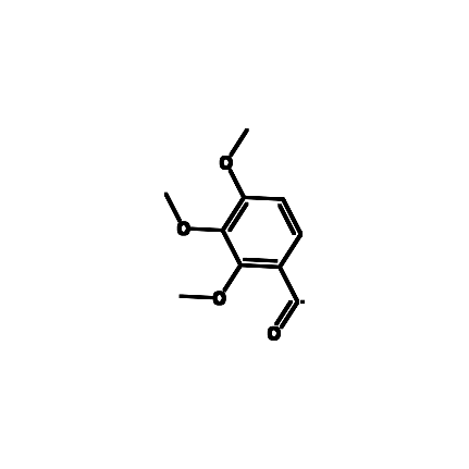 COc1ccc([C]=O)c(OC)c1OC